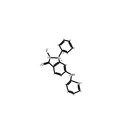 O=c1c2ccc(Nc3ccccn3)cc2n(-c2ccccc2)n1F